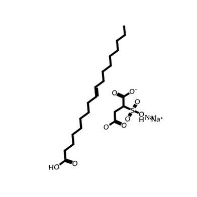 CCCCCCCCC=CCCCCCCCC(=O)O.O=C([O-])CC(C(=O)[O-])S(=O)(=O)O.[Na+].[Na+]